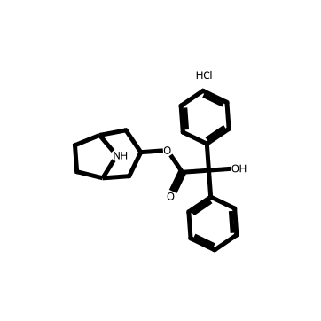 Cl.O=C(OC1CC2CCC(C1)N2)C(O)(c1ccccc1)c1ccccc1